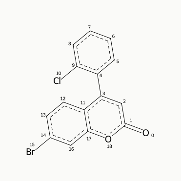 O=c1cc(-c2ccccc2Cl)c2ccc(Br)cc2o1